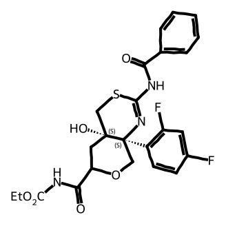 CCOC(=O)NC(=O)C1C[C@@]2(O)CSC(NC(=O)c3ccccc3)=N[C@@]2(c2ccc(F)cc2F)CO1